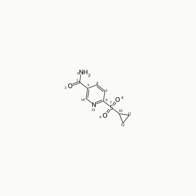 NC(=O)c1ccc(S(=O)(=O)C2CC2)nc1